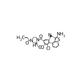 C=CC(=O)N1CCN2C(=O)c3cc(F)c(-c4cccc5sc(N)c(C#N)c45)c(Cl)c3OCC[C@H]2C1